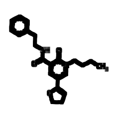 CCCCn1cc(C2=CCCO2)cc(C(=O)NCCc2ccccc2)c1=O